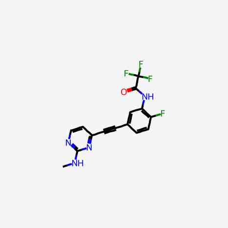 CNc1nccc(C#Cc2ccc(F)c(NC(=O)C(F)(F)F)c2)n1